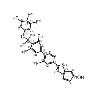 Oc1ccc2nc(-c3ccc(-c4cc(F)c(C(F)(F)Oc5cc(F)c(F)c(F)c5)c(F)c4)c(F)c3)sc2c1